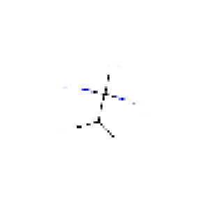 CC(C(C)(N)N)S(=O)(=O)O.[NaH]